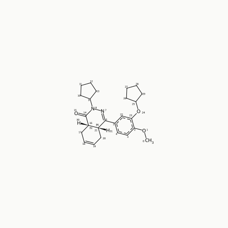 COc1ccc(C2=NN(C3CCCC3)C(=O)[C@H]3CC=CC[C@@H]23)cc1OC1CCCC1